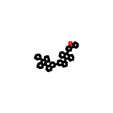 c1ccc(-c2c3ccccc3c(-c3cccc4cc(-c5ccc6c(-c7c8ccccc8c(-c8ccc9oc%10ccccc%10c9c8)c8ccccc78)cccc6c5)ccc34)c3ccccc23)cc1